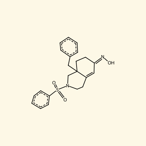 O=S(=O)(c1ccccc1)N1CCC2=CC(=NO)CCC2(Cc2ccccc2)C1